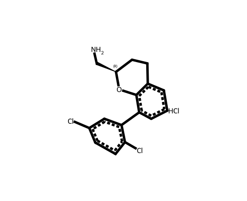 Cl.NC[C@H]1CCc2cccc(-c3cc(Cl)ccc3Cl)c2O1